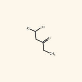 CCC(=O)CC([O])O